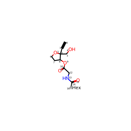 C#CC1(CO)OCCC1OC(=O)CNC(=O)CCCCCC